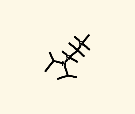 CC(C)N(C(C)C)[Si](C)(C)C(C)(C)[Si](C)(C)C